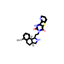 COc1cccc2c1CC[C@@H]1CNC(CCn3c(=O)[nH]c4c(sc5cccnc54)c3=O)[C@H]21